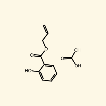 C=CCOC(=O)c1ccccc1O.O=C(O)O